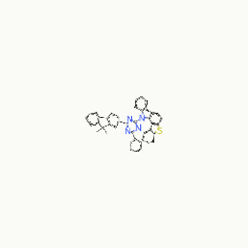 CC1(C)c2ccccc2-c2ccc(-c3nc(-c4ccccc4)nc(-n4c5ccccc5c5ccc6sc7ccccc7c6c54)n3)cc21